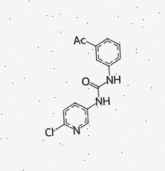 CC(=O)c1cccc(NC(=O)Nc2ccc(Cl)nc2)c1